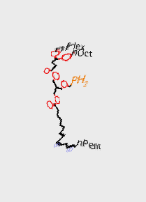 CCCCC/C=C\C/C=C\CCCCCCCC(=O)OCC(COCP)COC(=O)CCC(OCCCCCC)OCCCCCCCC